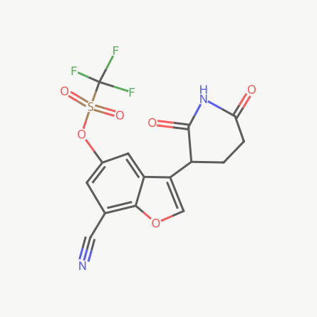 N#Cc1cc(OS(=O)(=O)C(F)(F)F)cc2c(C3CCC(=O)NC3=O)coc12